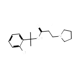 C[C@H](CN1CCCC1)C(=O)NC(C)(C)c1ccccc1Cl